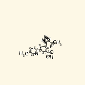 Cc1ccc(-c2cc(C(=O)O)cc(-n3nnnc3C(C)F)c2)nc1